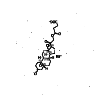 C[C@]12CCC(=O)C[C@H]1CC[C@@H]1[C@@H]2CC[C@]2(C)[C@@H](C(=O)COC(=O)CCC(=O)[O-])CC[C@@H]12.[Na+]